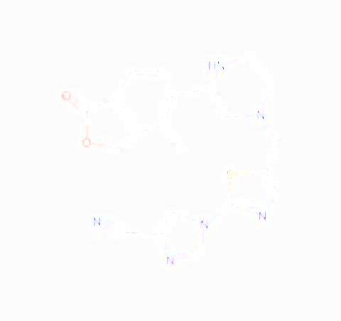 Cc1c(C2CN(Cc3cnc(-n4cnc(C#N)c4)s3)CCN2)ccc2c1COC2=O